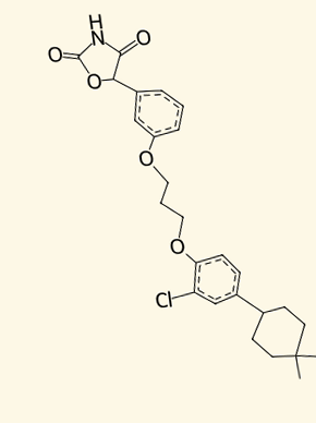 CC1(C)CCC(c2ccc(OCCCOc3cccc(C4OC(=O)NC4=O)c3)c(Cl)c2)CC1